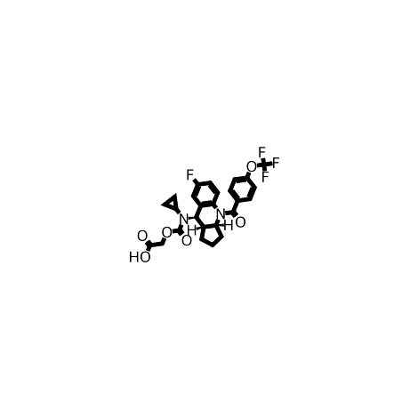 O=C(O)COC(=O)N(C1CC1)[C@H]1c2cc(F)ccc2N(C(=O)c2ccc(OC(F)(F)F)cc2)[C@@H]2CCC[C@@H]21